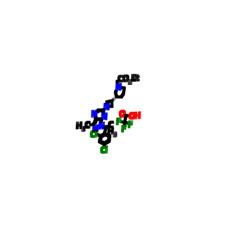 CCOC(=O)CN1CCC[C@H](C2CN(c3cnc4c(C)nn(C(C)c5ccc(Cl)cc5Cl)c4n3)C2)C1.O=C(O)C(F)(F)F